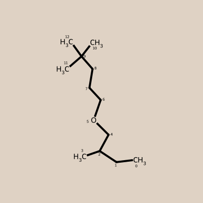 CCC(C)COCCCC(C)(C)C